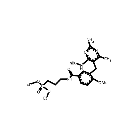 CCCCNc1nc(N)nc(C)c1Cc1cc(C(=O)NCCCP(=O)(OCC)OCC)ccc1OC